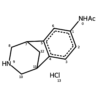 CC(=O)Nc1ccc2c(c1)C1CNCC2C1.Cl